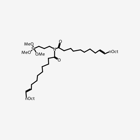 CCCCCCCCC=CCCCCCCCC(=O)N(CCC[Si](OC)(OC)OC)C(=O)CCCCCCCC=CCCCCCCCC